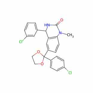 CN1C(=O)NC(c2cccc(Cl)c2)c2cc(C3(c4ccc(Cl)cc4)OCCO3)ccc21